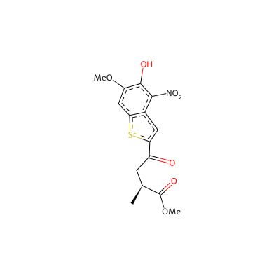 COC(=O)[C@@H](C)CC(=O)c1cc2c([N+](=O)[O-])c(O)c(OC)cc2s1